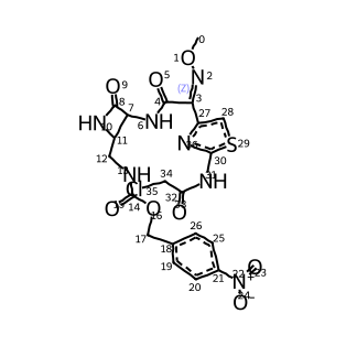 CO/N=C(\C(=O)NC1C(=O)NC1CNC(=O)OCc1ccc([N+](=O)[O-])cc1)c1csc(NC(=O)CCl)n1